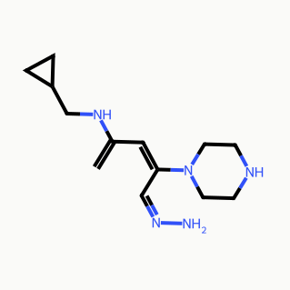 C=C(/C=C(\C=N/N)N1CCNCC1)NCC1CC1